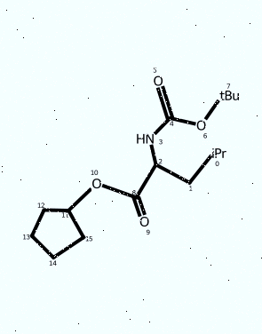 CC(C)CC(NC(=O)OC(C)(C)C)C(=O)OC1CCCC1